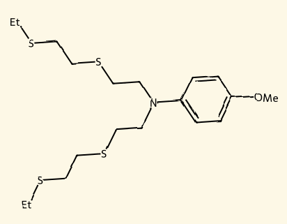 CCSCCSCCN(CCSCCSCC)c1ccc(OC)cc1